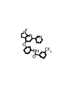 CN1CCc2c(Oc3cccc(NC(=O)c4cccc(C(F)(F)F)c4)c3)cc(-c3cccnc3)nc21